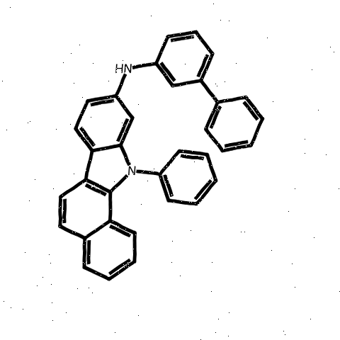 c1ccc(-c2cccc(Nc3ccc4c5ccc6ccccc6c5n(-c5ccccc5)c4c3)c2)cc1